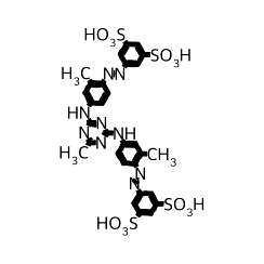 Cc1nc(Nc2ccc(N=Nc3cc(S(=O)(=O)O)cc(S(=O)(=O)O)c3)c(C)c2)nc(Nc2ccc(N=Nc3cc(S(=O)(=O)O)cc(S(=O)(=O)O)c3)c(C)c2)n1